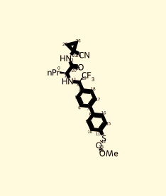 CCC[C@H](N[C@@H](c1ccc(-c2ccc(SOOC)cc2)cc1)C(F)(F)F)C(=O)NC1(C#N)CC1